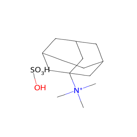 C[N+](C)(C)C12CC3CC(CC(C3)C1)C2.O=S(=O)(O)O